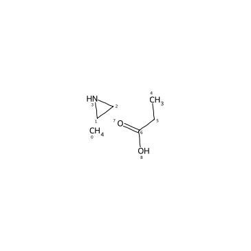 C.C1CN1.CCC(=O)O